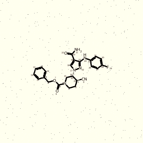 N#C[C@H]1CCN(C(=O)OCc2ccccc2)C[C@@H]1n1cc(C(N)=O)c(Nc2ccc(F)cc2)n1